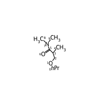 CCCOCC(C)C(=O)N(C)C